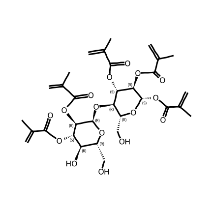 C=C(C)C(=O)O[C@@H]1O[C@H](CO)[C@@H](O[C@H]2O[C@H](CO)[C@@H](O)[C@H](OC(=O)C(=C)C)[C@H]2OC(=O)C(=C)C)[C@H](OC(=O)C(=C)C)[C@H]1OC(=O)C(=C)C